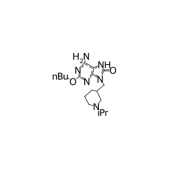 CCCCOc1nc(N)c2[nH]c(=O)n(CC3CCCN(C(C)C)C3)c2n1